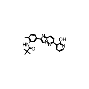 Cc1ccc(-c2cn3nc(-c4cccnc4O)ccc3n2)cc1NC(=O)C(C)(C)C